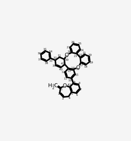 C=C1C=CCc2cccc(-c3ccc4c(c3)Oc3ccccc3-c3ccccc3OC3CC(c5ccccc5)C=CC43)c2O1